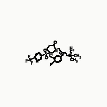 C[Si](C)(C)CCOC[C@H]1C[C@@](Cc2cc(F)ccc2F)(S(=O)(=O)c2ccc(C(F)(F)F)nc2)CCC1=O